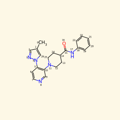 Cc1cnn(-c2ccncc2N2CCC(C(=O)Nc3ccccc3)CC2)c1